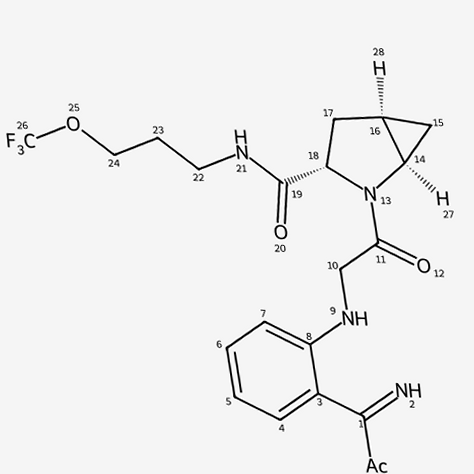 CC(=O)C(=N)c1ccccc1NCC(=O)N1[C@@H]2C[C@@H]2C[C@H]1C(=O)NCCCOC(F)(F)F